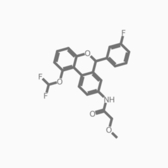 COCC(=O)Nc1ccc2c(c1)C(c1cccc(F)c1)Oc1cccc(OC(F)F)c1-2